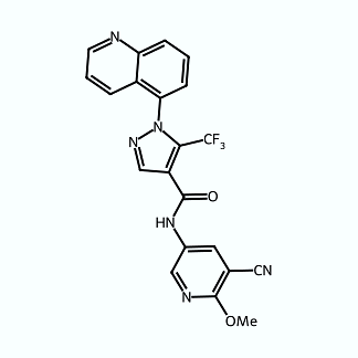 COc1ncc(NC(=O)c2cnn(-c3cccc4ncccc34)c2C(F)(F)F)cc1C#N